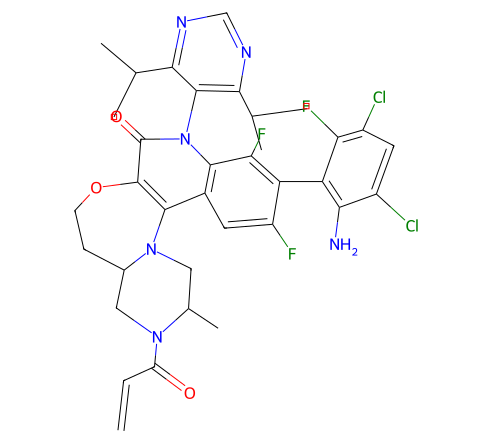 C=CC(=O)N1CC2CCOc3c(c4cc(F)c(-c5c(N)c(Cl)cc(Cl)c5F)c(F)c4n(-c4c(C(C)C)ncnc4C(C)C)c3=O)N2CC1C